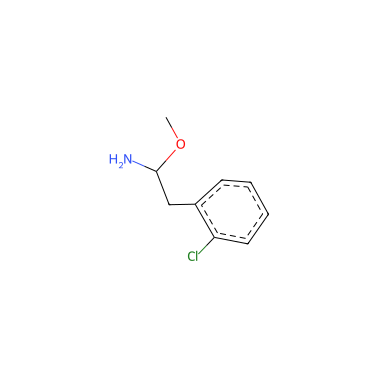 COC(N)Cc1ccccc1Cl